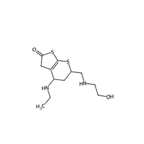 CCNC1CC(CNCCO)SC2=C1CC(=O)S2